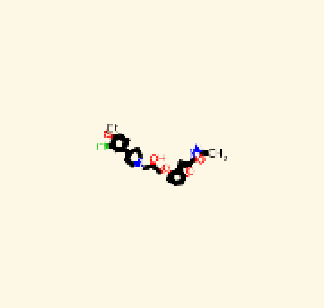 CCOc1ccc(C2CCN(CC(O)COc3cccc4oc(-c5nnc(C)o5)cc34)CC2)cc1Cl